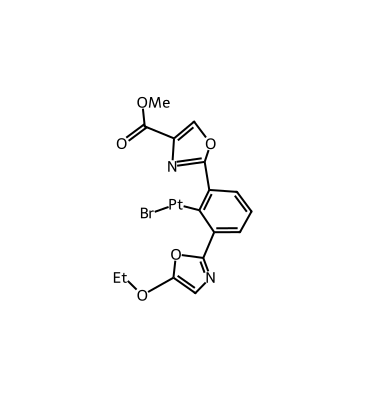 CCOc1cnc(-c2cccc(-c3nc(C(=O)OC)co3)[c]2[Pt][Br])o1